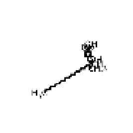 CCCCCCCCCCCCCCCCCCC(C)C(C)(O)Cc1ccc(S(=O)(=O)O)cc1